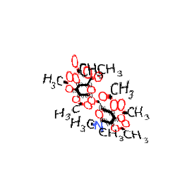 COC(=O)[C@H]1O[C@@H](OC[C@H]2O[C@@H](N(C)C)[C@H](OC(C)=O)[C@@H](OC(C)=O)[C@H]2OC(C)=O)[C@H](OC(C)=O)[C@@H](OC(C)=O)[C@@H]1OC(C)=O